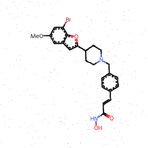 COc1cc(Br)c2oc(C3CCN(Cc4ccc(C=CC(=O)NO)cc4)CC3)cc2c1